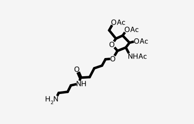 CC(=O)NC1C(OCCCCC(=O)NCCCN)OC(COC(C)=O)C(OC(C)=O)C1OC(C)=O